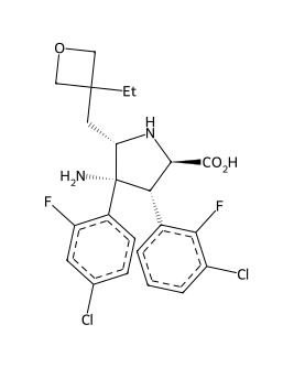 CCC1(C[C@@H]2N[C@@H](C(=O)O)[C@H](c3cccc(Cl)c3F)[C@@]2(N)c2ccc(Cl)cc2F)COC1